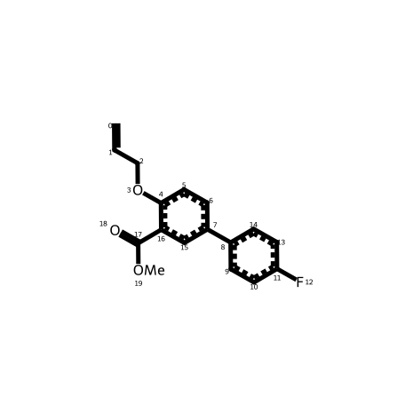 C=CCOc1ccc(-c2ccc(F)cc2)cc1C(=O)OC